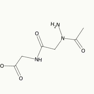 CC(=O)N(N)CC(=O)NCC(=O)O